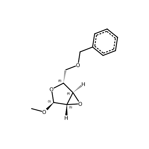 CO[C@H]1O[C@H](COCc2ccccc2)[C@H]2O[C@H]12